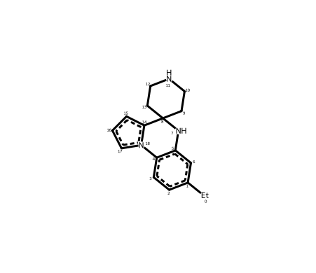 CCc1ccc2c(c1)NC1(CCNCC1)c1cccn1-2